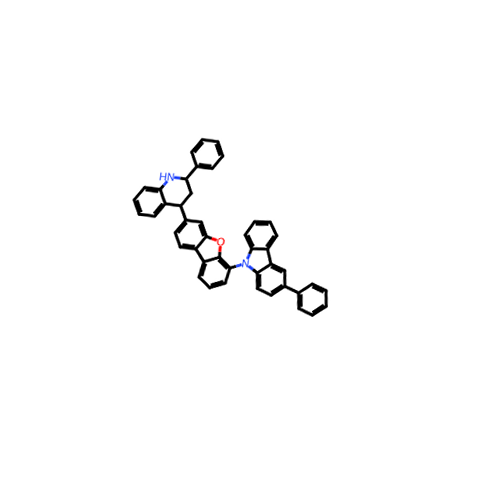 c1ccc(-c2ccc3c(c2)c2ccccc2n3-c2cccc3c2oc2cc(C4CC(c5ccccc5)Nc5ccccc54)ccc23)cc1